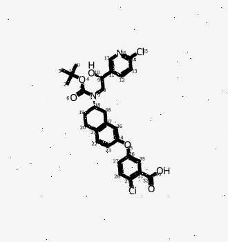 CC(C)(C)OC(=O)N(C[C@@H](O)c1ccc(Cl)nc1)[C@H]1CCc2ccc(Oc3ccc(Cl)c(C(=O)O)c3)cc2C1